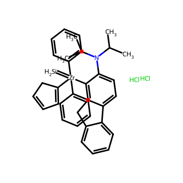 CC(C)N(c1ccc2c([c]1[Zr](=[SiH2])([C]1=CC=CC1)([c]1ccccc1)[c]1ccccc1)Cc1ccccc1-2)C(C)C.Cl.Cl